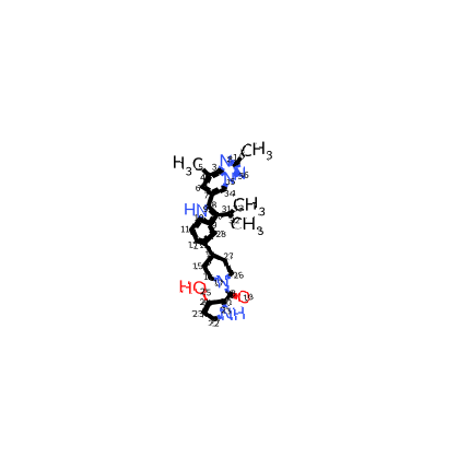 Cc1nc2c(C)cc(-c3[nH]c4ccc(C5CCN(C(=O)[C@H]6NCC[C@H]6O)CC5)cc4c3C(C)C)cn2n1